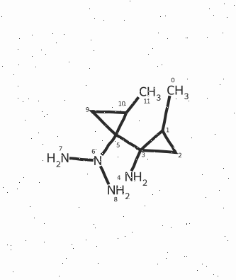 CC1CC1(N)C1(N(N)N)CC1C